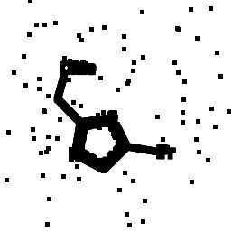 COCc1ncc(C(C)C)s1